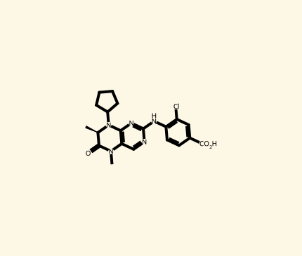 C[C@@H]1C(=O)N(C)c2cnc(Nc3ccc(C(=O)O)cc3Cl)nc2N1C1CCCC1